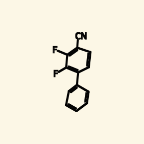 N#Cc1ccc(-c2ccccc2)c(F)c1F